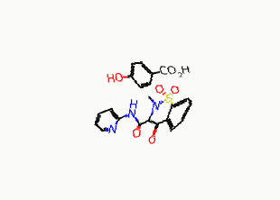 CN1C(C(=O)Nc2ccccn2)C(=O)c2ccccc2S1(=O)=O.O=C(O)c1ccc(O)cc1